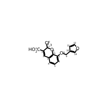 O=C(O)C1=Cc2cccc(OCc3ccoc3)c2OC1C(F)(F)F